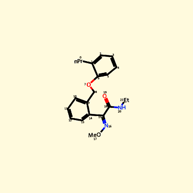 CCCc1ccccc1OCc1ccccc1/C(=N\OC)C(=O)NCC